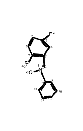 [O-][N+](=Cc1cc(F)ccc1F)c1ccccc1